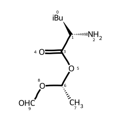 CC[C@H](C)[C@H](N)C(=O)O[C@H](C)OC=O